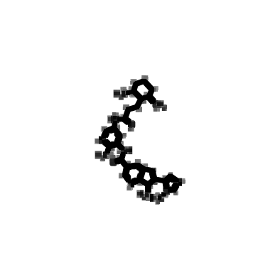 C=C1C(c2cncn2C)=Cc2cc(C(=O)Nc3cc(NC(=O)CCC4C(=C)CCC[C@@H]4C)cnc3C)cnc21